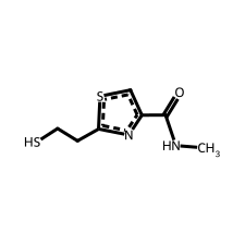 CNC(=O)c1csc(CCS)n1